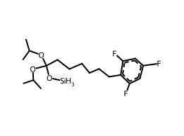 CC(C)OC(CCCCCCc1c(F)cc(F)cc1F)(O[SiH3])OC(C)C